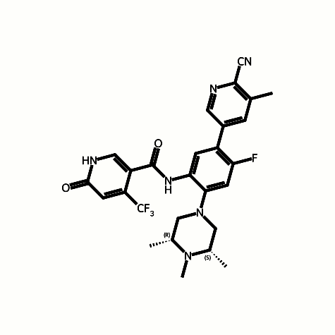 Cc1cc(-c2cc(NC(=O)c3c[nH]c(=O)cc3C(F)(F)F)c(N3C[C@@H](C)N(C)[C@@H](C)C3)cc2F)cnc1C#N